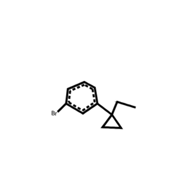 C[CH]C1(c2cccc(Br)c2)CC1